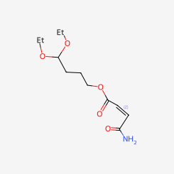 CCOC(CCCOC(=O)/C=C\C(N)=O)OCC